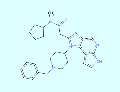 CN(C(=O)Cc1nc2cnc3[nH]ccc3c2n1C1CCN(Cc2ccccc2)CC1)C1CCCC1